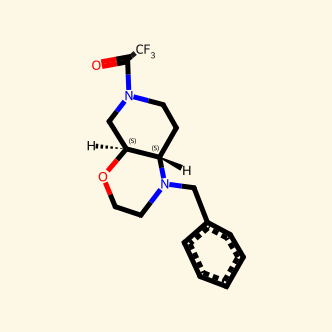 O=C(N1CC[C@H]2[C@H](C1)OCCN2Cc1ccccc1)C(F)(F)F